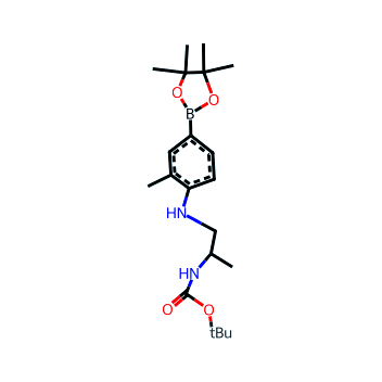 Cc1cc(B2OC(C)(C)C(C)(C)O2)ccc1NCC(C)NC(=O)OC(C)(C)C